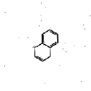 C1=[CH][Y][c]2ccccc2C1